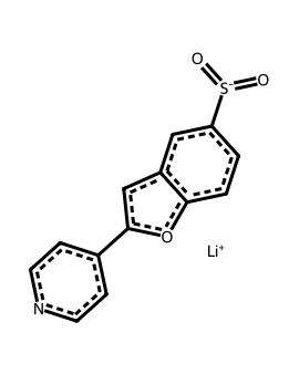 O=[S-](=O)c1ccc2oc(-c3ccncc3)cc2c1.[Li+]